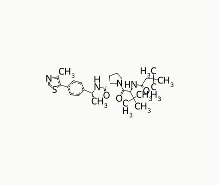 Cc1ncsc1-c1ccc([C@H](C)NC(=O)[C@@H]2CCCN2C(=O)[C@@H](NC(=O)CC(C)(C)C)C(C)(C)C)cc1